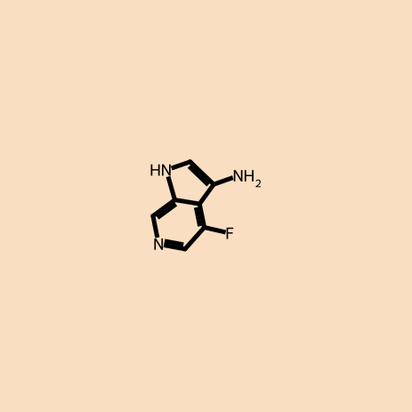 Nc1c[nH]c2cncc(F)c12